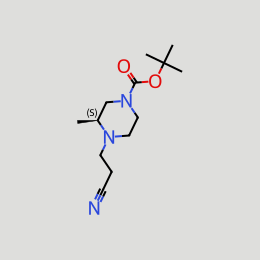 C[C@H]1CN(C(=O)OC(C)(C)C)CCN1CCC#N